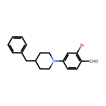 O=Cc1ccc(N2CCC(Cc3ccccc3)CC2)cc1Br